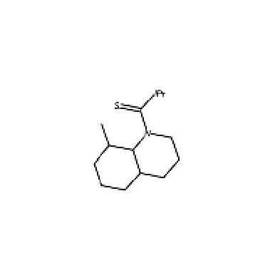 CC(C)C(=S)N1CCCC2CCCC(C)C21